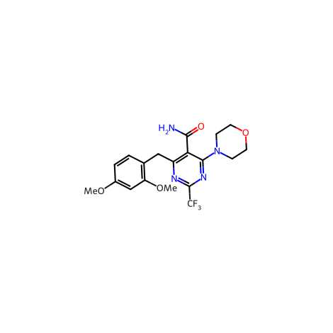 COc1ccc(Cc2nc(C(F)(F)F)nc(N3CCOCC3)c2C(N)=O)c(OC)c1